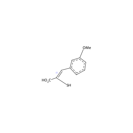 COc1cccc(/C=C(\S)C(=O)O)c1